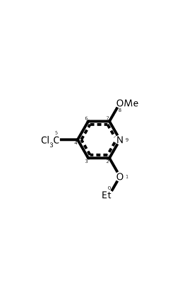 CCOc1cc(C(Cl)(Cl)Cl)cc(OC)n1